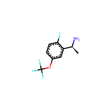 C[C@H](N)c1cc(OC(F)(F)F)ccc1F